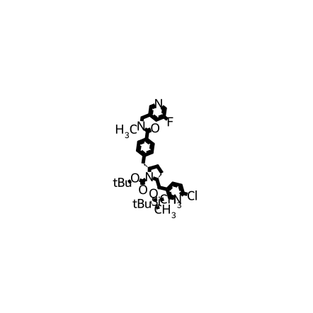 CN(Cc1cncc(F)c1)C(=O)c1ccc(C[C@@H]2CC[C@H]([C@H](O[Si](C)(C)C(C)(C)C)c3ccc(Cl)nc3)N2C(=O)OC(C)(C)C)cc1